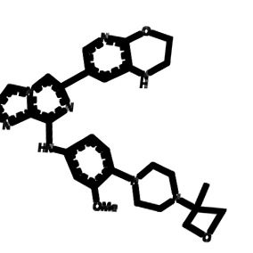 COc1cc(Nc2nc(-c3cnc4c(c3)NCCO4)cn3ccnc23)ccc1N1CCN(C2(C)COC2)CC1